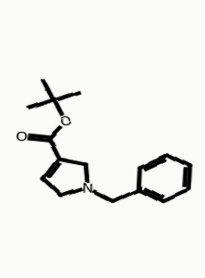 CC(C)(C)OC(=O)C1=CCN(Cc2ccccc2)C1